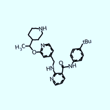 CC(Oc1cc(CNc2ncccc2C(=O)Nc2ccc(C(C)(C)C)cc2)ccn1)C1CCNCC1